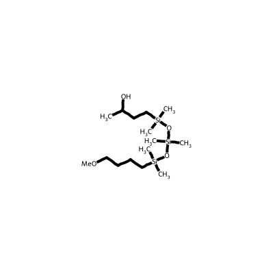 COCCCC[Si](C)(C)O[Si](C)(C)O[Si](C)(C)CCC(C)O